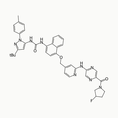 Cc1ccc(-n2nc(C(C)(C)C)cc2NC(=O)Nc2ccc(OCc3ccnc(Nc4cnc(C(=O)N5CCC(F)C5)cn4)c3)c3ccccc23)cc1